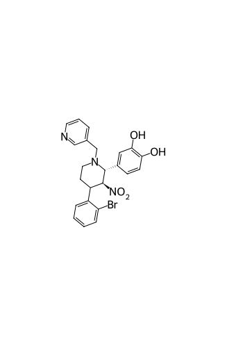 O=[N+]([O-])[C@H]1C(c2ccccc2Br)CCN(Cc2cccnc2)[C@@H]1c1ccc(O)c(O)c1